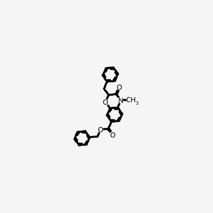 CN1C(=O)C(Cc2ccccc2)Oc2cc(C(=O)OCc3ccccc3)ccc21